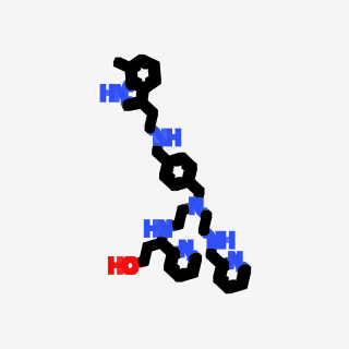 Cc1cccc2c(CCNCc3ccc(CN(CCNCc4ccccn4)CCNC(CCO)c4ccccn4)cc3)c[nH]c12